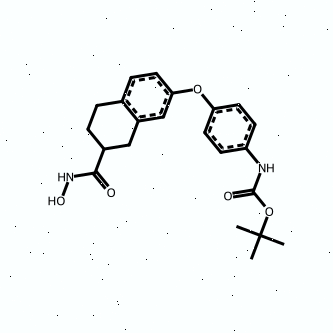 CC(C)(C)OC(=O)Nc1ccc(Oc2ccc3c(c2)CC(C(=O)NO)CC3)cc1